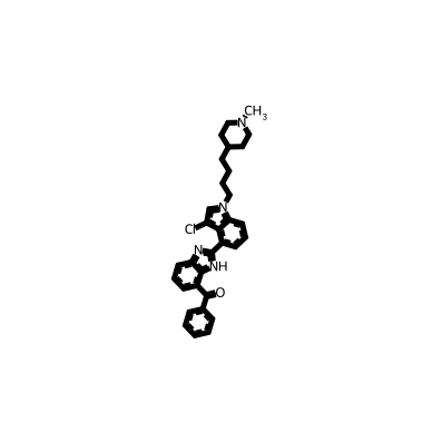 CN1CCC(CCCCn2cc(Cl)c3c(-c4nc5cccc(C(=O)c6ccccc6)c5[nH]4)cccc32)CC1